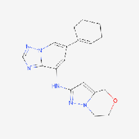 C1=C(c2cc(Nc3cc4n(n3)CCOC4)c3ncnn3c2)CCCC1